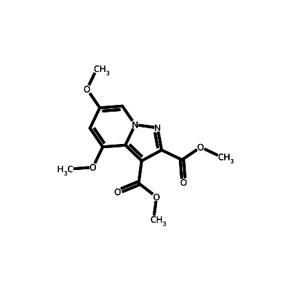 COC(=O)c1nn2cc(OC)cc(OC)c2c1C(=O)OC